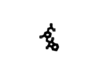 O=C(Cl)Cc1ccc(CN2C(=O)c3ccccc3C2=O)c(Cl)c1